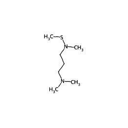 CSN(C)CCCN(C)C